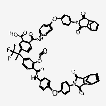 CC(c1ccc(C(=O)Nc2ccc(Oc3ccc(N4C(=O)C5C6C=CC(C6)C5C4=O)cc3)cc2)c(OC=O)c1)(c1ccc(C(=O)Nc2ccc(Oc3ccc(N4C(=O)C5C6C=CC(C6)C5C4=O)cc3)cc2)c(C(=O)O)c1)C(F)(F)F